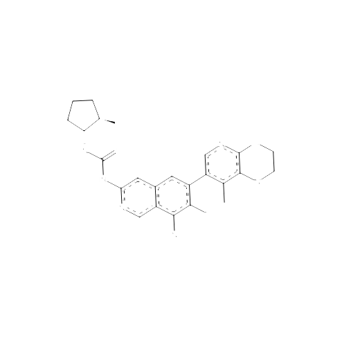 Cc1c(-c2cc3cc(NC(=O)N[C@@H]4CCC[C@H]4F)ncc3c(N)c2F)cnc2c1NCCO2